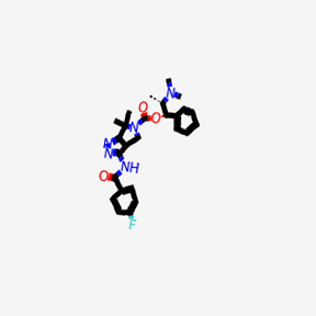 C[C@@H]([C@@H](OC(=O)N1CC2C(NC(=O)c3ccc(F)cc3)=NN=C2C1(C)C)c1ccccc1)N(C)C